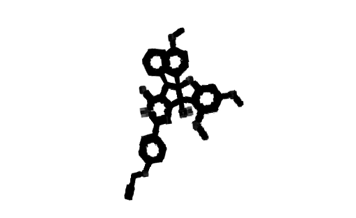 C#CCOc1ccc(-c2nc3c(c(=O)[nH]2)[C@@H](c2ccccc2)[C@]2(c4ccc(OC)cc4)Oc4cc(OC)cc(OC)c4[C@]32O)cc1